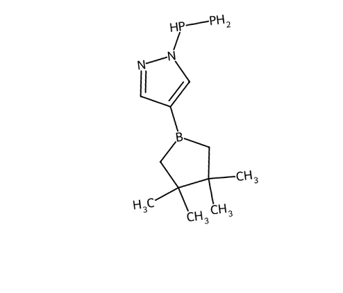 CC1(C)CB(c2cnn(PP)c2)CC1(C)C